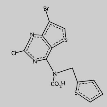 O=C(O)N(Cc1cccs1)c1nc(Cl)nc2c(Br)csc12